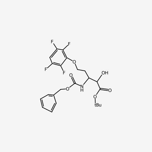 CC(C)(C)OC(=O)C(O)C(CCOc1c(F)c(F)cc(F)c1F)NC(=O)OCc1ccccc1